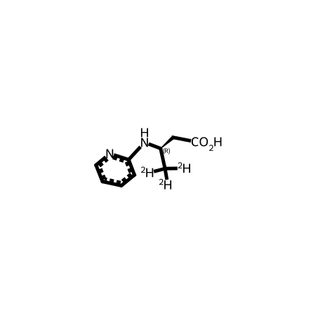 [2H]C([2H])([2H])[C@H](CC(=O)O)Nc1ccccn1